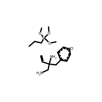 C=CC(N)(CN)Cc1ccccc1.CCC[Si](OC)(OC)OC.Cl